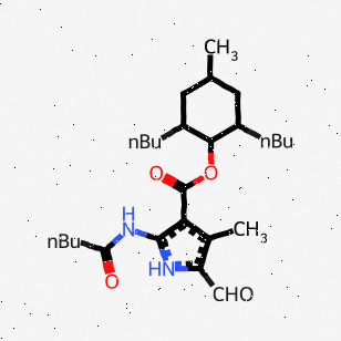 CCCCC(=O)Nc1[nH]c(C=O)c(C)c1C(=O)OC1C(CCCC)CC(C)CC1CCCC